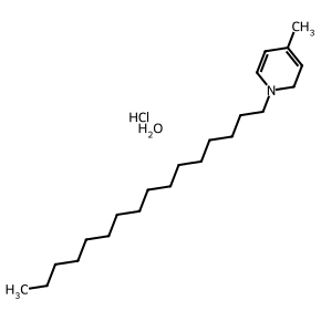 CCCCCCCCCCCCCCCCN1C=CC(C)=CC1.Cl.O